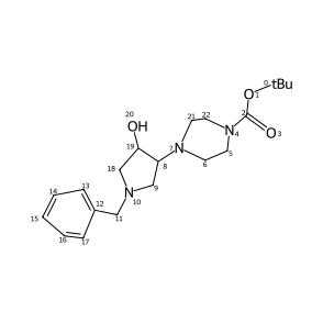 CC(C)(C)OC(=O)N1CCN(C2CN(Cc3ccccc3)CC2O)CC1